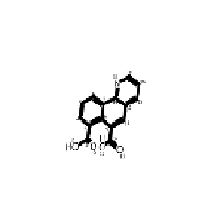 O=C(O)c1cccc2c1c(C(=O)O)cc1cccnc12